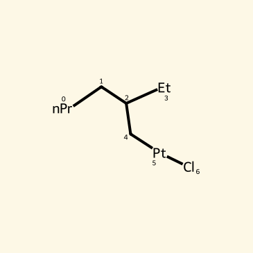 CCCCC(CC)[CH2][Pt][Cl]